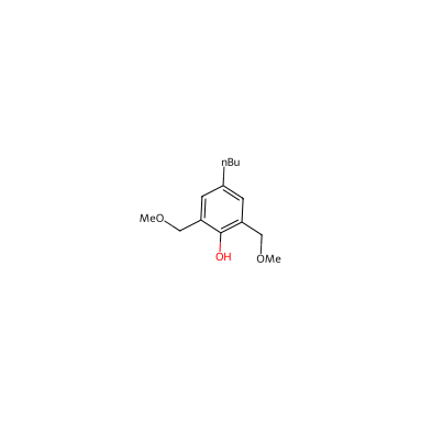 CCCCc1cc(COC)c(O)c(COC)c1